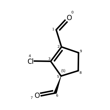 O=CC1=C(Cl)[C@H](C=O)CC1